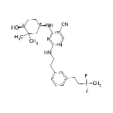 CC(F)(F)CCc1cccc(CCNc2ncc(C#N)c(N[C@@H]3CC[C@H](O)C(C)(C)C3)n2)c1